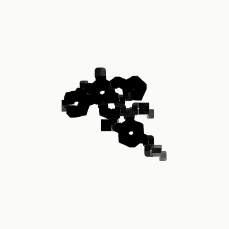 COc1ccc(NC(=O)Cn2c(=O)n(Cc3ccco3)c(=O)c3sc4cnccc4c32)c(OC)c1